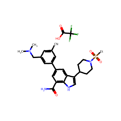 CCS(=O)(=O)N1CCC(c2c[nH]c3c(C(N)=O)cc(-c4cc(C#N)cc(CN(C)C)c4)cc23)CC1.O=C(O)C(F)(F)F